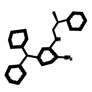 C[C@H](CNc1cc(C(c2ccccc2)c2ccccc2)ccc1N)c1ccccc1